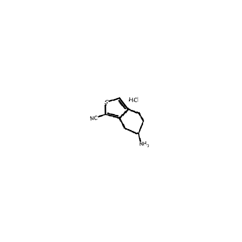 Cl.N#Cc1scc2c1CC(N)CC2